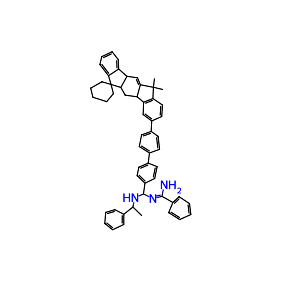 CC(NC(/N=C(\N)c1ccccc1)c1ccc(-c2ccc(-c3ccc4c(c3)C3CC5C(C=C3C4(C)C)c3ccccc3C53CCCCC3)cc2)cc1)c1ccccc1